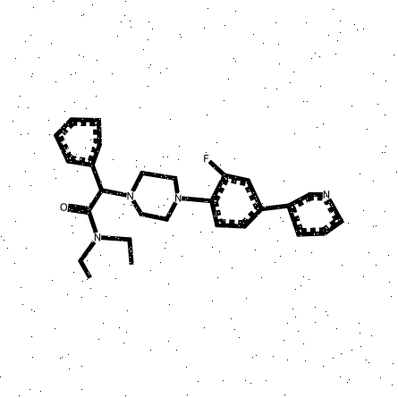 CCN(CC)C(=O)C(c1ccccc1)N1CCN(c2ccc(-c3cccnc3)cc2F)CC1